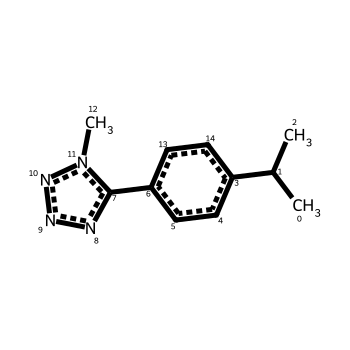 CC(C)c1ccc(-c2nnnn2C)cc1